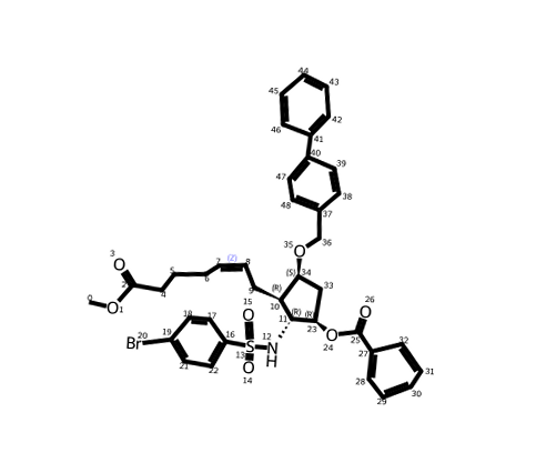 COC(=O)CCC/C=C\C[C@@H]1[C@@H](NS(=O)(=O)c2ccc(Br)cc2)[C@H](OC(=O)c2ccccc2)C[C@@H]1OCc1ccc(-c2ccccc2)cc1